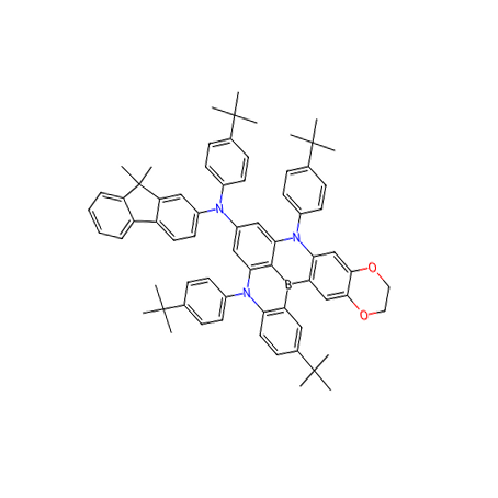 CC(C)(C)c1ccc(N(c2cc3c4c(c2)N(c2ccc(C(C)(C)C)cc2)c2cc5c(cc2B4c2cc(C(C)(C)C)ccc2N3c2ccc(C(C)(C)C)cc2)OCCO5)c2ccc3c(c2)C(C)(C)c2ccccc2-3)cc1